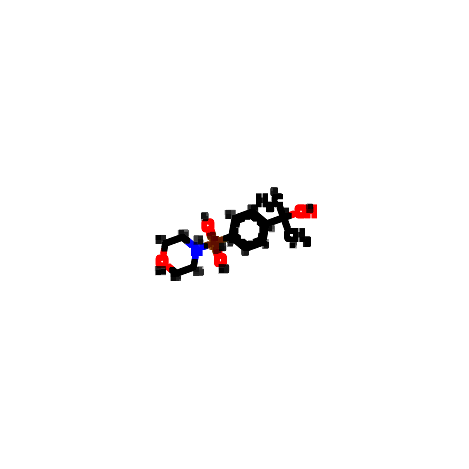 CC(C)(O)c1ccc(S(=O)(=O)N2CCOCC2)cc1